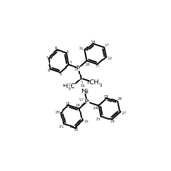 CC(C)P(c1ccccc1)c1ccccc1.[Ni][P](c1ccccc1)c1ccccc1